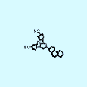 N#Cc1ccc2c3cc(-c4ccc5c(ccc6ccccc65)c4)cc4c5ccc(C#N)cc5n(c2c1)c34